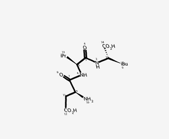 CC[C@H](C)[C@H](NC(=O)[C@@H](NC(=O)[C@@H](N)CC(=O)O)C(C)C)C(=O)O